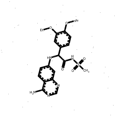 CCCOc1ccc(C(Nc2ccc3c(N)ncnc3c2)C(=O)NS(C)(=O)=O)cc1OCC